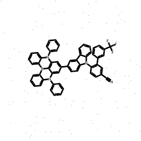 N#Cc1ccc(-n2c3ccccc3c3cc(-c4cc5c6c(c4)N(c4ccccc4)c4ccccc4B6c4ccccc4N5c4ccccc4)ccc32)c(-c2cccc(C(F)(F)F)c2)c1